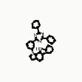 c1ccc(-c2nc(-c3ccccc3)nc(-c3cccc(-n4ccc5ccc6c7ccccc7[nH]c6c54)c3)n2)cc1